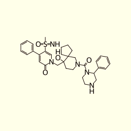 CS(=N)(=O)c1cn(CC2(O)CCN(C(=O)N3CCNCC3c3ccccc3)CC23CCCC3)c(=O)cc1-c1ccccc1